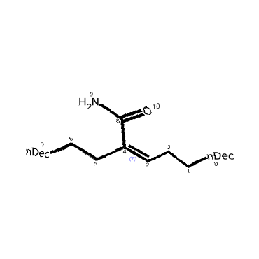 CCCCCCCCCCCC/C=C(/CCCCCCCCCCCC)C(N)=O